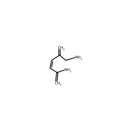 C=C(N)/C=C\C(=C)CN